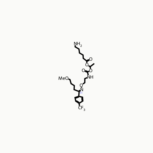 COCCCC/C(=N\OCCNC(=O)OC(C)OC(=O)CCCCCN)c1ccc(C(F)(F)F)cc1